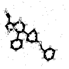 N#Cc1cnn2c(-c3ccccc3)c(-c3ccc(OCc4ccccc4)cc3)cnc12